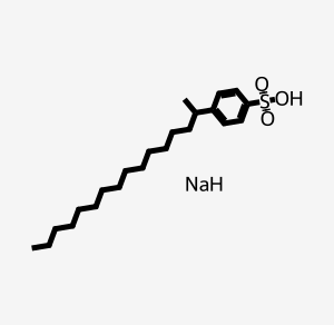 CCCCCCCCCCCCCCC(C)c1ccc(S(=O)(=O)O)cc1.[NaH]